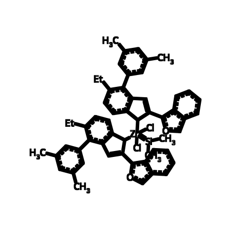 CCc1ccc2c(c1-c1cc(C)cc(C)c1)C=C(c1occ3ccccc13)[CH]2[Zr]([Cl])([Cl])([CH]1C(c2occ3ccccc23)=Cc2c1ccc(CC)c2-c1cc(C)cc(C)c1)=[Si](C)C